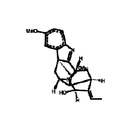 C/C=C1/[C@@H](O)N2[C@H]3C[C@@H]1C1C(OC(C)=O)[C@@]4(C[C@@H]12)C3=Nc1ccc(OC)cc14